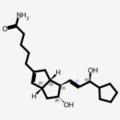 NC(=O)CCCCC1=C[C@H]2C[C@@H](O)[C@H](/C=C/[C@@H](O)C3CCCC3)[C@H]2C1